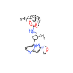 Cc1cc(-c2ccnc3cc(N4CCOCC4)nn23)ccc1CNC(=O)OC(C)(C)C